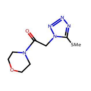 [CH2]Sc1nnnn1CC(=O)N1CCOCC1